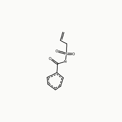 C=CCS(=O)(=O)[N]C(=O)c1ccccc1